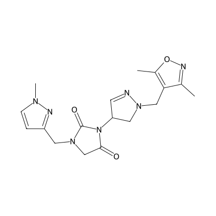 Cc1noc(C)c1CN1CC(N2C(=O)CN(Cc3ccn(C)n3)C2=O)C=N1